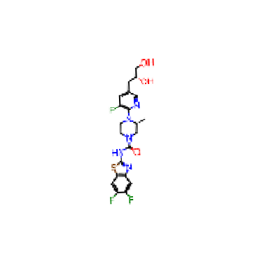 C[C@H]1CN(C(=O)Nc2nc3cc(F)c(F)cc3s2)CCN1c1ncc(C[C@@H](O)CO)cc1F